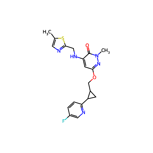 Cc1cnc(CNc2cc(OCC3CC3c3ccc(F)cn3)nn(C)c2=O)s1